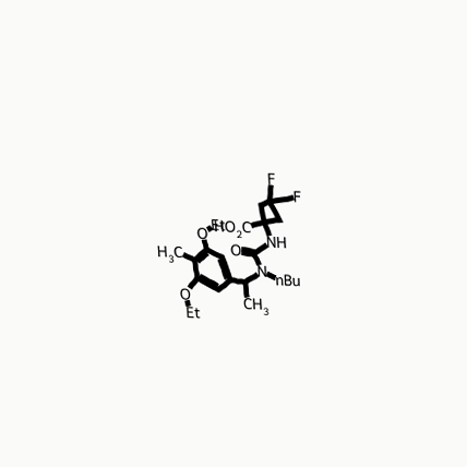 CCCCN(C(=O)NC1(C(=O)O)CC(F)(F)C1)C(C)c1cc(OCC)c(C)c(OCC)c1